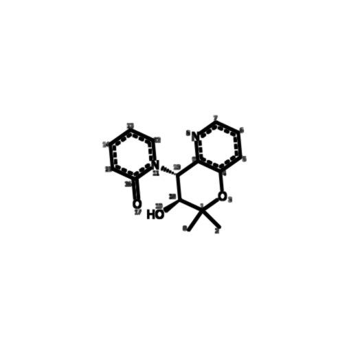 CC1(C)Oc2cccnc2[C@@H](n2ccccc2=O)[C@@H]1O